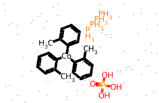 Cc1cccc[c]1[Co]([c]1ccccc1C)[c]1ccccc1C.O=P(O)(O)O.P.P.P.P